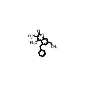 C=Cc1cc(Cc2ccccc2)c2c(C)c(N)c(=O)oc2c1